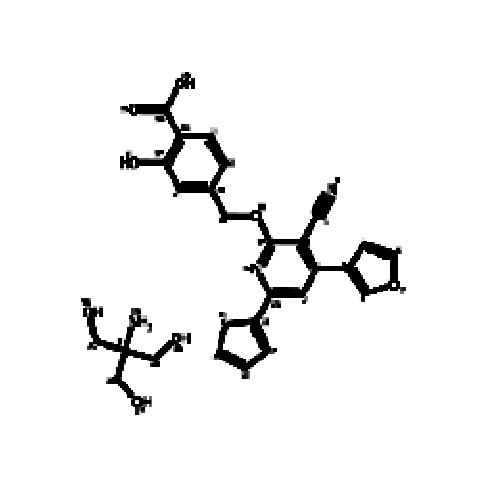 N#Cc1c(-c2ccoc2)cc(-c2cccs2)nc1OCc1ccc(C(=O)O)c(O)c1.NC(CO)(CO)CO